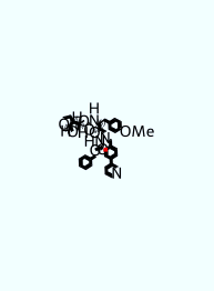 COc1ccc(C[C@H](NC(=O)O[C@H]2CO[C@H]3OCC[C@H]32)[C@@H](O)CN(Cc2ccc(-c3cccnc3)cc2)NC(=O)OCc2ccccc2)cc1